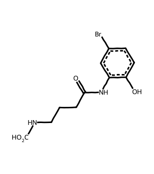 O=C(O)NCCCC(=O)Nc1cc(Br)ccc1O